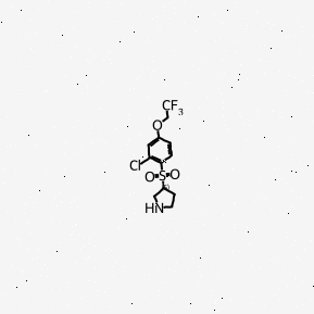 O=S(=O)(c1ccc(OCC(F)(F)F)cc1Cl)[C@H]1CCNC1